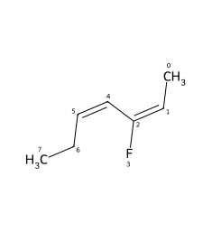 C/C=C(F)\C=C/CC